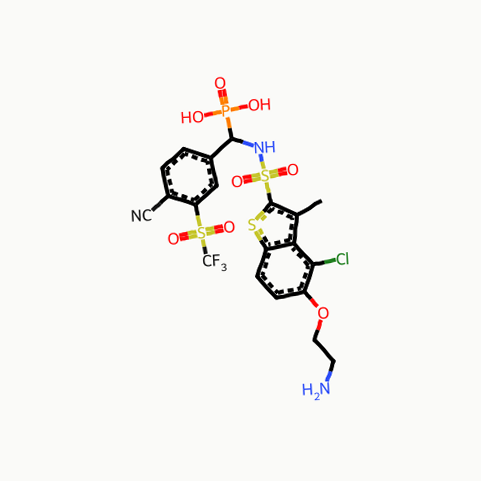 Cc1c(S(=O)(=O)NC(c2ccc(C#N)c(S(=O)(=O)C(F)(F)F)c2)P(=O)(O)O)sc2ccc(OCCN)c(Cl)c12